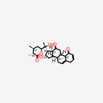 C[C@H]1CC([C@](C)(O)[C@@H]2[C@H]3C(=O)C[C@H]4[C@@H](CC=C5CC=CC(=O)[C@@]54C)[C@@H]3C[C@@H]2O)OC(=O)[C@@H]1C